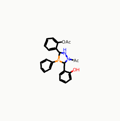 CC(=O)Oc1ccccc1C1NN(C(C)=O)C(c2ccccc2O)P1c1ccccc1